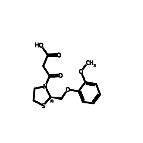 COc1ccccc1OC[C@H]1SCCN1C(=O)CC(=O)O